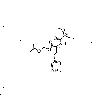 CO[C@@H](C)C(=O)N[C@@H](CCC(=O)C=N)C(=O)OCOC(C)C